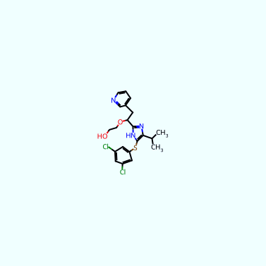 CC(C)c1nc(C(Cc2cccnc2)OCCO)[nH]c1Sc1cc(Cl)cc(Cl)c1